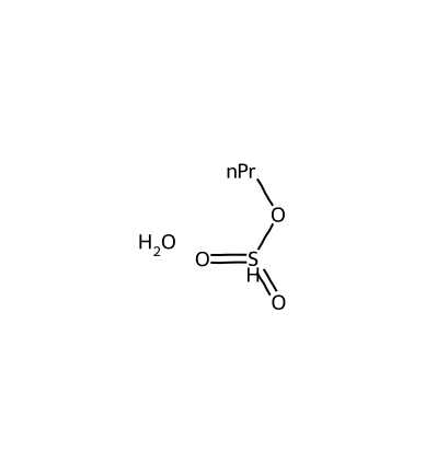 CCCO[SH](=O)=O.O